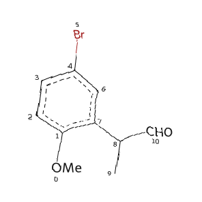 COc1ccc(Br)cc1C(C)C=O